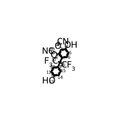 N#COc1c(O)ccc(C(c2ccc(O)cc2)(C(F)(F)F)C(F)(F)F)c1OC#N